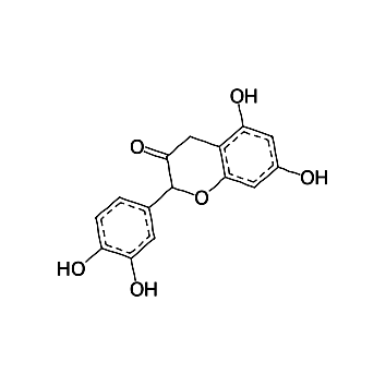 O=C1Cc2c(O)cc(O)cc2OC1c1ccc(O)c(O)c1